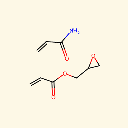 C=CC(=O)OCC1CO1.C=CC(N)=O